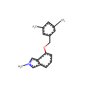 Cn1cc2cccc(OCc3cc(C(F)(F)F)cc(C(F)(F)F)c3)c2c1